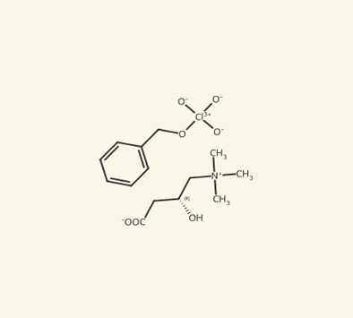 C[N+](C)(C)C[C@H](O)CC(=O)[O-].[O-][Cl+3]([O-])([O-])OCc1ccccc1